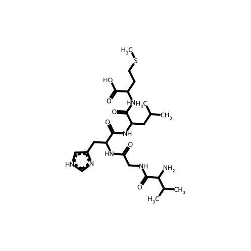 CSCCC(NC(=O)C(CC(C)C)NC(=O)C(Cc1c[nH]cn1)NC(=O)CNC(=O)C(N)C(C)C)C(=O)O